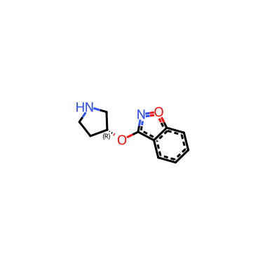 c1ccc2c(O[C@@H]3CCNC3)noc2c1